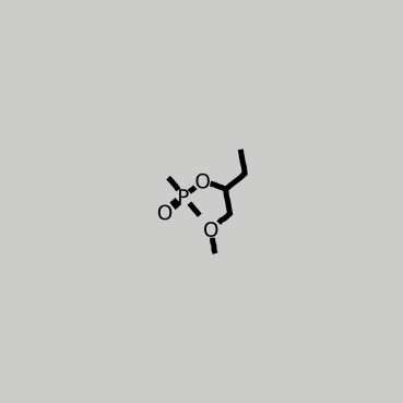 CCC(COC)OP(C)(C)=O